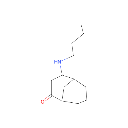 CCCCNC1CC(=O)C2CCCC1C2